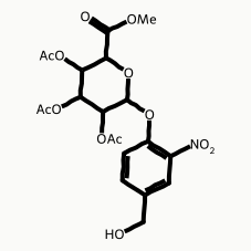 COC(=O)C1OC(Oc2ccc(CO)cc2[N+](=O)[O-])C(OC(C)=O)C(OC(C)=O)C1OC(C)=O